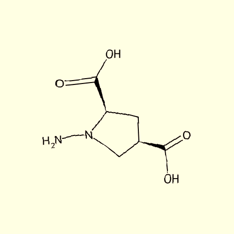 NN1C[C@H](C(=O)O)C[C@@H]1C(=O)O